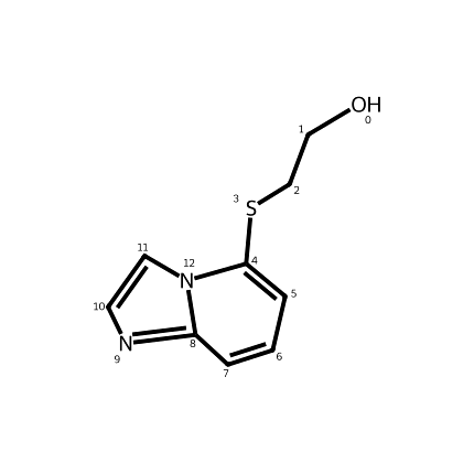 OCCSc1cccc2nccn12